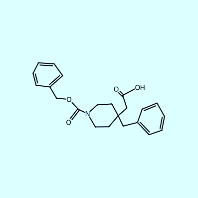 O=C(O)CC1(Cc2ccccc2)CCN(C(=O)OCc2ccccc2)CC1